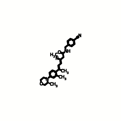 C=N/C(=C\C=C(/C)c1ccc(N2CCOC[C@@H]2C)cc1C)CC(=O)NCc1ccc(C#N)cc1